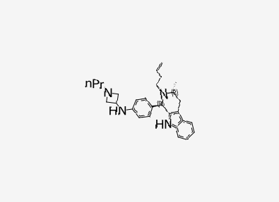 C=CCCN1[C@H](c2ccc(NC3CN(CCC)C3)cc2)c2[nH]c3ccccc3c2C[C@H]1C